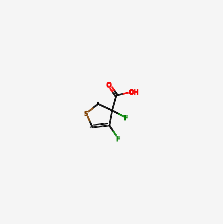 O=C(O)C1(F)[CH]S[C]=C1F